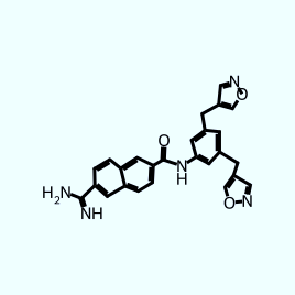 N=C(N)c1ccc2cc(C(=O)Nc3cc(Cc4cnoc4)cc(Cc4cnoc4)c3)ccc2c1